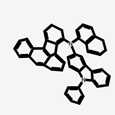 C1=Cc2c(cccc2N(C2=C3C(=CCC2)c2c4ccccc4cc4cccc3c24)c2ccc3c(c2)c2ccccc2n3-c2ccccc2)CC1